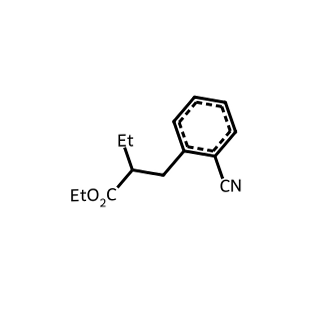 CCOC(=O)C(CC)Cc1ccccc1C#N